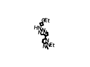 CCOC1CC(Nc2ncc3c(-c4ccc5nc(C)n(CC)c5n4)ccn3n2)C1